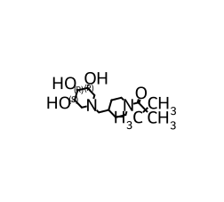 CC(C)(C)C(=O)N1CCC(CN2C[C@@H](O)[C@H](O)[C@@H](O)C2)CC1